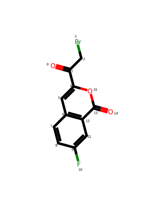 O=C(CBr)c1cc2ccc(F)cc2c(=O)o1